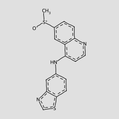 C[S+]([O-])c1ccc2nccc(Nc3ccc4scnc4c3)c2c1